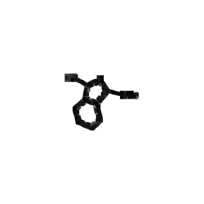 CNc1nc(O)c2ccccn12